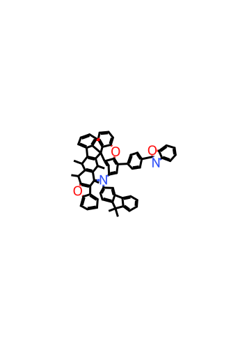 CC1C2=C3C(C)C4=C1C(C)c1oc5ccccc5c1C4(C)N(c1ccc4c(c1)-c1ccccc1C4(C)C)c1cc(-c4ccc(-c5nc6ccccc6o5)cc4)c4c(c1)C3(c1ccccc1O4)c1ccccc12